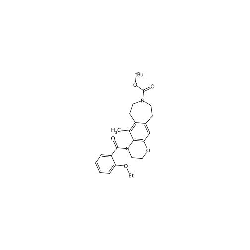 CCOc1ccccc1C(=O)N1CCOc2cc3c(c(C)c21)CCN(C(=O)OC(C)(C)C)CC3